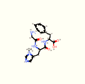 Cn1cncc1CC(NC(=O)CN)C(=O)NC(Cc1ccccc1)C(=O)O